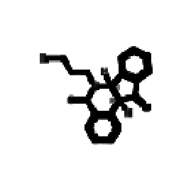 O=C1c2ccccc2[C@@H]2[C@H]1c1ccccc1C(=O)N2CCCBr